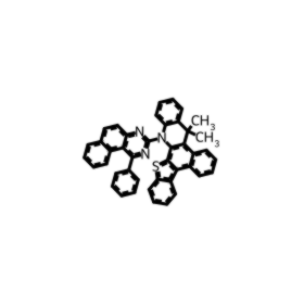 CC1(C)c2ccccc2N(c2nc(-c3ccccc3)c3c(ccc4ccccc43)n2)c2c1c1ccccc1c1c2sc2ccccc21